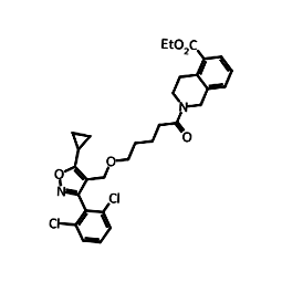 CCOC(=O)c1cccc2c1CCN(C(=O)CCCCOCc1c(-c3c(Cl)cccc3Cl)noc1C1CC1)C2